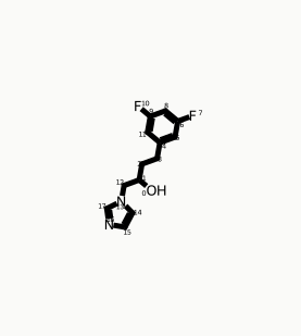 OC(CCc1cc(F)cc(F)c1)Cn1ccnc1